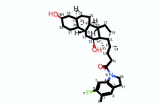 Cc1cc2c(cc1F)N(C(=O)CC[C@@H](C)[C@H]1CC[C@H]3[C@@H]4CC[C@@H]5C[C@H](O)CC[C@]5(C)[C@H]4C[C@H](O)[C@]13C)CC2